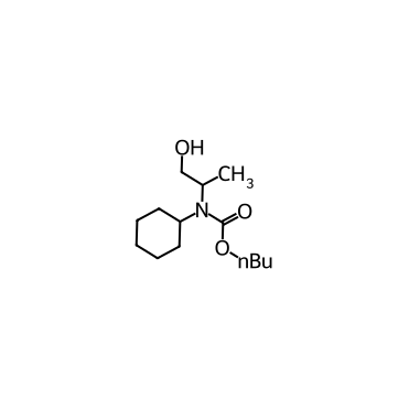 CCCCOC(=O)N(C(C)CO)C1CCCCC1